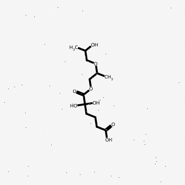 CC(O)COC(C)COC(=O)C(O)(O)CCCC(=O)O